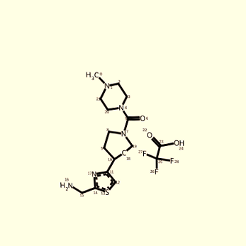 CN1CCN(C(=O)N2CCC(c3csc(CN)n3)CC2)CC1.O=C(O)C(F)(F)F